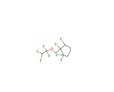 FC(F)C(F)(F)OCC1(F)C(F)CCCC1(F)F